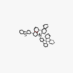 C1=CC2=C(CC1)c1ccccc1C21c2ccccc2-c2ccc(N(c3ccc(-c4ccc5c(c4)sc4ccccc45)cc3)c3ccc4ccccc4c3-c3ccccc3)cc21